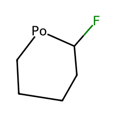 F[CH]1CCC[CH2][Po]1